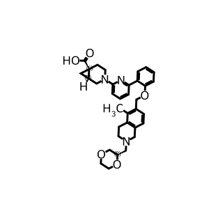 Cc1c(COc2ccccc2-c2cccc(N3CC[C@@]4(C(=O)O)C[C@H]4C3)n2)ccc2c1CCN(C[C@@H]1COCCO1)C2